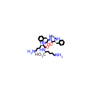 CC(C)N[C@H](Cc1ccccc1)C(=O)N[C@H](Cc1ccccc1)C(=O)N[C@H](CCCCN)C(=O)N[C@H](CCCCN)C(=O)O